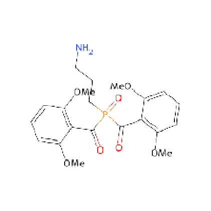 COc1cccc(OC)c1C(=O)P(=O)(CCCN)C(=O)c1c(OC)cccc1OC